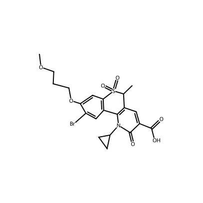 COCCCOc1cc2c(cc1Br)-c1c(cc(C(=O)O)c(=O)n1C1CC1)C(C)S2(=O)=O